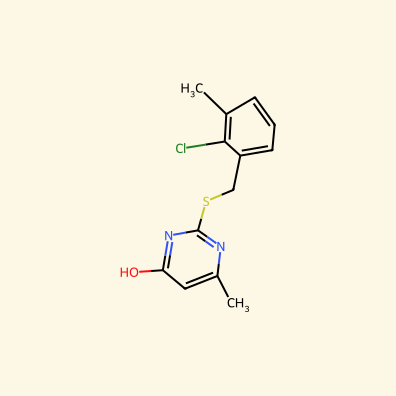 Cc1cc(O)nc(SCc2cccc(C)c2Cl)n1